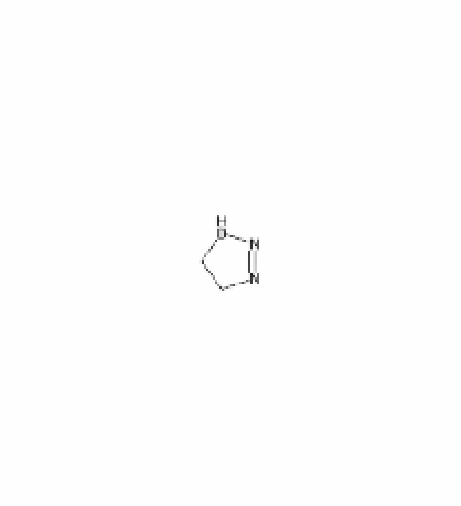 B1CCN=N1